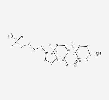 CC(C)(O)CCCCC1CCC2C3CC=C4CC(O)CC[C@@H]4C3CC[C@]12C